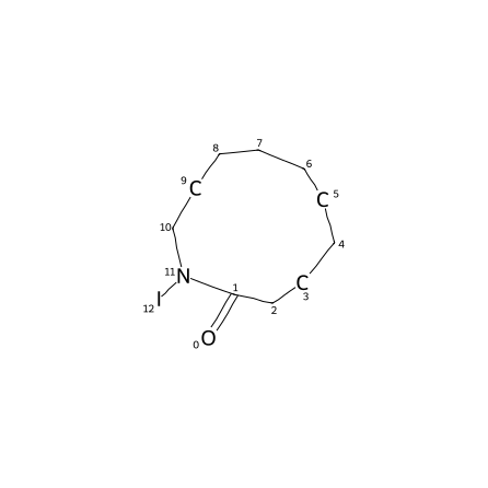 O=C1CCCCCCCCCN1I